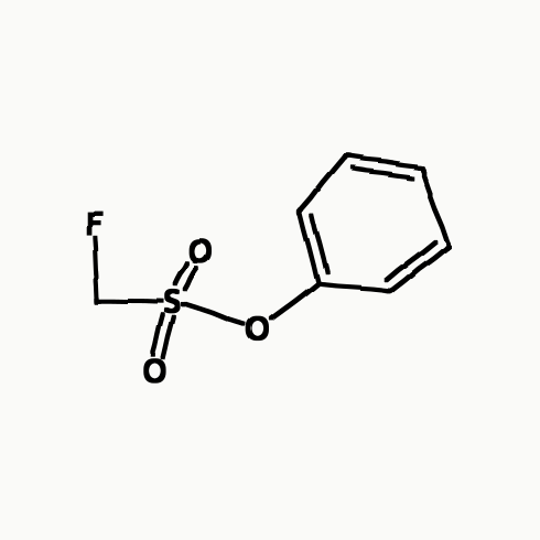 O=S(=O)(CF)Oc1ccccc1